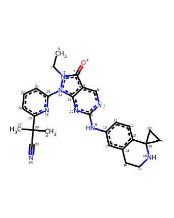 CCn1c(=O)c2cnc(Nc3ccc4c(c3)CCNC43CC3)nc2n1-c1cccc(C(C)(C)C#N)n1